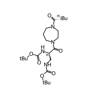 CC[C@@H](C)C(=O)N1CCCN(C(=O)[C@@H](CNC(=O)OC(C)(C)C)NC(=O)OC(C)(C)C)CC1